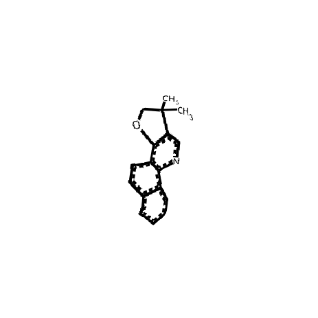 CC1(C)COc2c1cnc1c2ccc2ccccc21